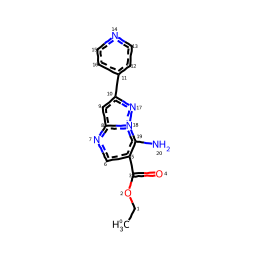 CCOC(=O)c1cnc2cc(-c3ccncc3)nn2c1N